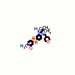 Cn1ccc(S(=O)(=O)c2ccc3c(c2)nc(C(C)(C)C)n3CC2CCOCC2)cc1=O